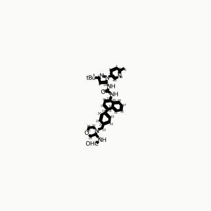 Cc1ccc(-n2nc(C(C)(C)C)cc2NC(=O)Nc2ccc(-c3ccc(CN4CCOCC4NC=O)cc3)c3ccccc23)cn1